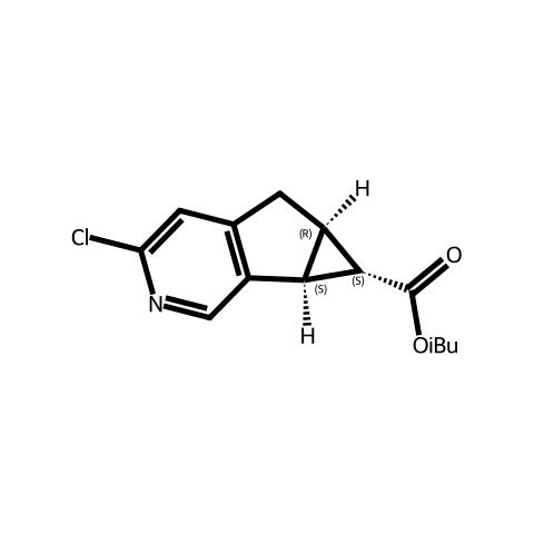 CC(C)COC(=O)[C@H]1[C@@H]2Cc3cc(Cl)ncc3[C@@H]21